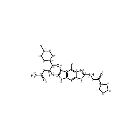 Cc1c2nc(NCC(=O)N3CCCC3)sc2cc2sc(NC(CC(N)=O)C(=O)N3CCN(C)CC3)nc12